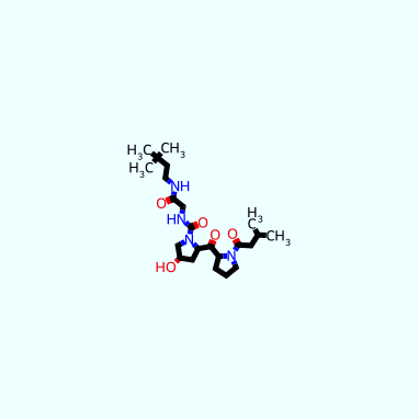 CC(C)CC(=O)N1CCCC1C(=O)C1CC(O)CN1C(=O)NCC(=O)NCCC(C)(C)C